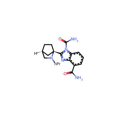 CCCN1C[C@H]2CC[C@@]1(c1nc3c(C(N)=O)cccc3n1C(N)=O)C2